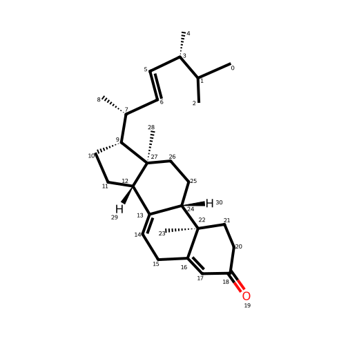 CC(C)[C@@H](C)/C=C/[C@@H](C)[C@H]1CC[C@H]2C3=CCC4=CC(=O)CC[C@]4(C)[C@H]3CC[C@]12C